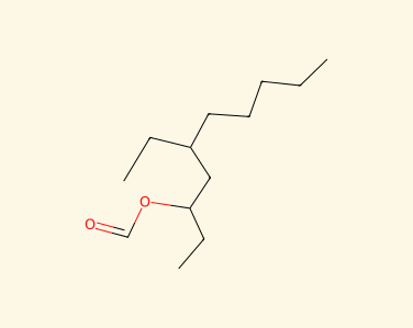 CCCCCC(CC)CC(CC)OC=O